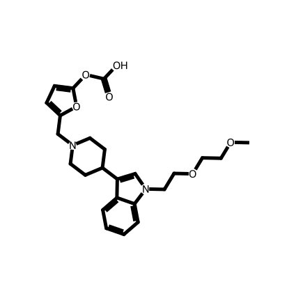 COCCOCCn1cc(C2CCN(Cc3ccc(OC(=O)O)o3)CC2)c2ccccc21